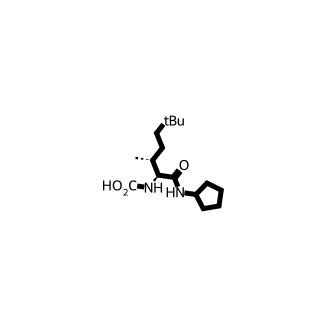 C[C@H](CCC(C)(C)C)[C@@H](NC(=O)O)C(=O)NC1CCCC1